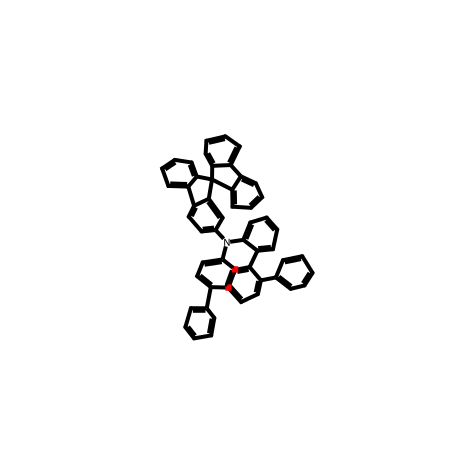 c1ccc(-c2ccc(N(c3ccc4c(c3)C3(c5ccccc5-c5ccccc53)c3ccccc3-4)c3ccccc3-c3ccccc3-c3ccccc3)cc2)cc1